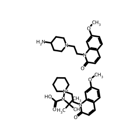 COc1ccc2ccc(=O)n(CCN3CCC(N)CC3)c2c1.COc1ccc2ccc(=O)n(CC[N+]3(N(C(=O)O)C(C)(C)C)CCCCC3)c2c1